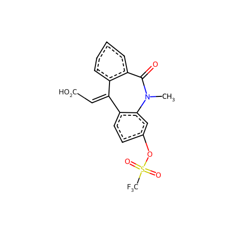 CN1C(=O)c2ccccc2/C(=C\C(=O)O)c2ccc(OS(=O)(=O)C(F)(F)F)cc21